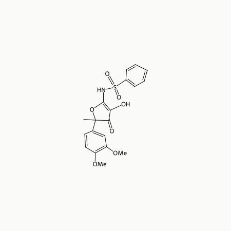 COc1ccc(C2(C)OC(NS(=O)(=O)c3ccccc3)=C(O)C2=O)cc1OC